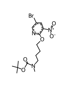 CN(CCCCOc1ncc(Br)cc1[N+](=O)[O-])C(=O)OC(C)(C)C